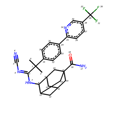 CC(C)(/C(=N\C#N)NC1C2CC3CC1CC(C(N)=O)(C3)C2)c1ccc(-c2ccc(C(F)(F)F)cn2)cc1